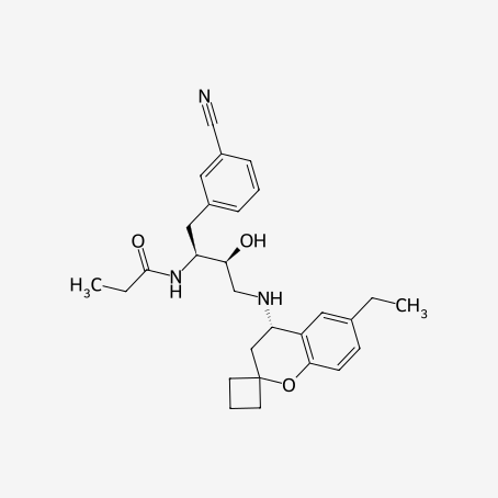 CCC(=O)N[C@@H](Cc1cccc(C#N)c1)[C@@H](O)CN[C@H]1CC2(CCC2)Oc2ccc(CC)cc21